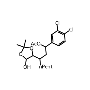 CCCCCC(CC(OC(C)=O)c1ccc(Cl)c(Cl)c1)C1OC(C)(C)OC1O